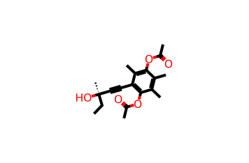 CC[C@@](C)(O)C#Cc1c(C)c(OC(C)=O)c(C)c(C)c1OC(C)=O